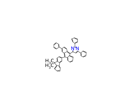 CC1(C)c2ccccc2-c2cc(-c3c4ccccc4c(-c4cc(-c5ccccc5)nc(-c5ccccc5)n4)c4ccc(-c5ccccc5)cc34)ccc21